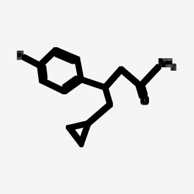 NC(=O)CC(CC1CC1)c1ccc(F)cc1